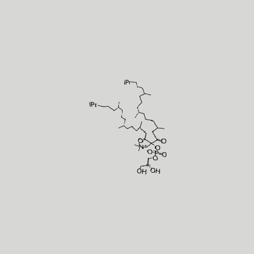 CC(C)CCCC(C)CCCC(C)CCCC(C)CC(=O)C(C[N+](C)(C)C)(OP(=O)([O-])OC[C@H](O)CO)C(=O)CC(C)CCCC(C)CCCC(C)CCCC(C)C